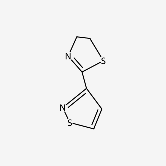 c1cc(C2=NCCS2)ns1